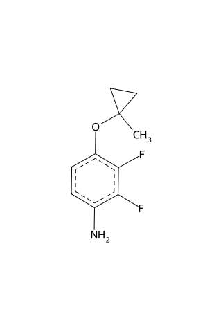 CC1(Oc2ccc(N)c(F)c2F)CC1